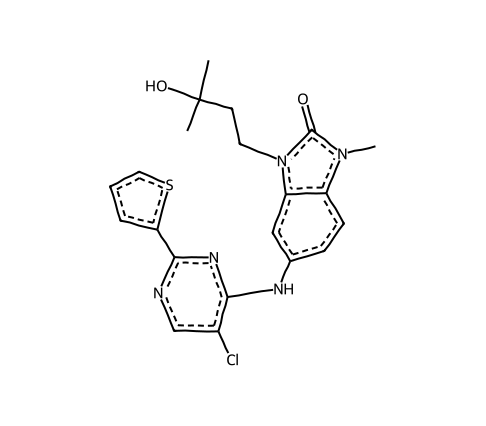 Cn1c(=O)n(CCC(C)(C)O)c2cc(Nc3nc(-c4cccs4)ncc3Cl)ccc21